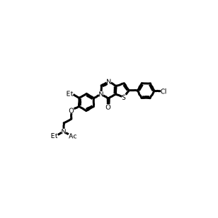 CCc1cc(-n2cnc3cc(-c4ccc(Cl)cc4)sc3c2=O)ccc1OCCN(CC)C(C)=O